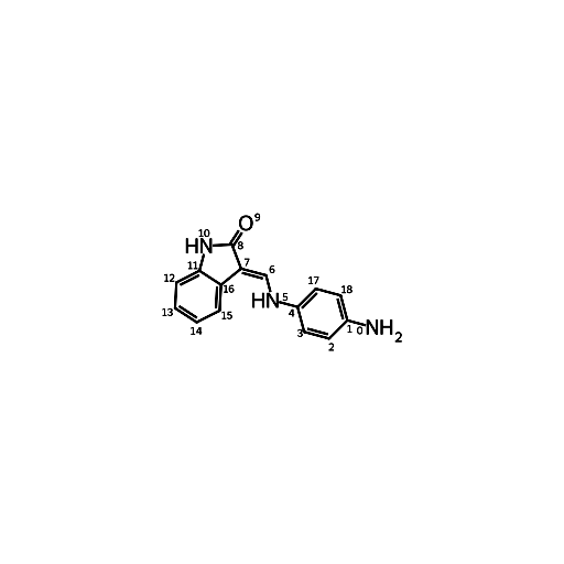 Nc1ccc(N/C=C2/C(=O)Nc3ccccc32)cc1